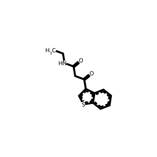 CCNC(=O)CC(=O)c1csc2ccccc12